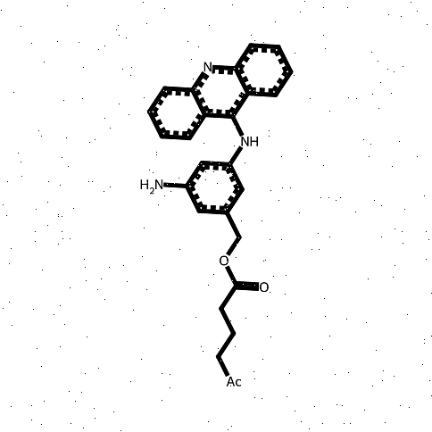 CC(=O)CCCC(=O)OCc1cc(N)cc(Nc2c3ccccc3nc3ccccc23)c1